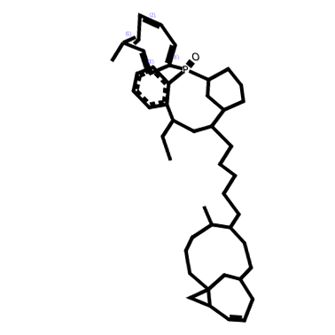 CCC1CC(CCCCCC2CCC3CC=CC4CC4(CCCC2C)C3)C2CCCC(C2)P(=O)(C2=C/C=C\C=C(C)\C=C\2)c2ccccc21